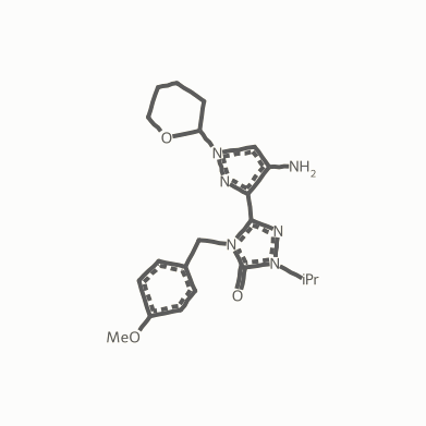 COc1ccc(Cn2c(-c3nn(C4CCCCO4)cc3N)nn(C(C)C)c2=O)cc1